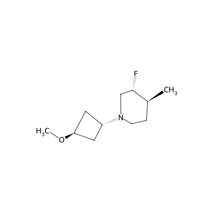 CO[C@H]1C[C@H](N2CC[C@H](C)[C@@H](F)C2)C1